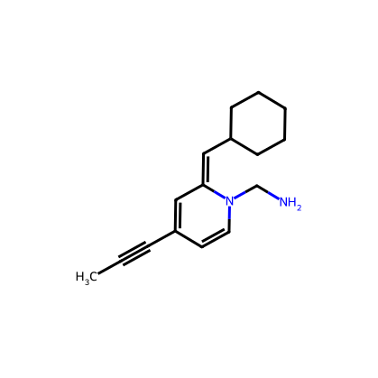 CC#CC1=C/C(=C/C2CCCCC2)N(CN)C=C1